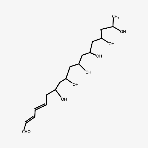 CC(O)CC(O)CC(O)CC(O)CC(O)CC(O)CC=CC=CC=O